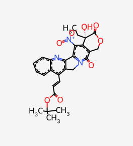 CC[C@@]1(O)C(=O)OCc2c1c([N+](=O)[O-])c1n(c2=O)Cc2c-1nc1ccccc1c2/C=C/C(=O)OC(C)(C)C